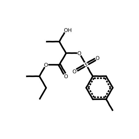 CCC(C)OC(=O)C(OS(=O)(=O)c1ccc(C)cc1)C(C)O